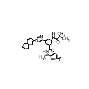 CC(C)C(=O)Nc1cc(C(=O)N[C@H](C)c2ccc(F)cc2)cc(-c2cn(-c3ccc4ccccc4c3)cn2)c1